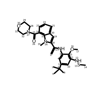 C=C(Nc1cc(C(C)(C)C)cc(NSC)c1OC)c1cc2cccc(C(=O)N3CCOCC3)c2n1C